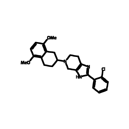 COc1ccc(OC)c2c1CCC(N1CCc3nc(-c4ccccc4Cl)[nH]c3C1)C2